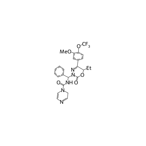 CCC1OC(=O)N(C(NC(=O)N2C=CN=CC2)c2ccccc2)N=C1c1ccc(OC(F)(F)F)c(OC)c1